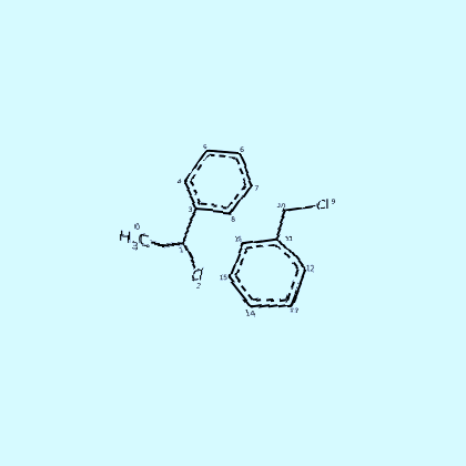 CC(Cl)c1ccccc1.ClCc1ccccc1